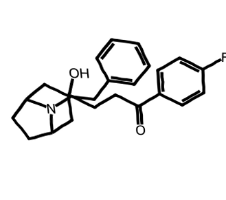 O=C(CCCN1C2CCC1CC(O)(Cc1ccccc1)C2)c1ccc(F)cc1